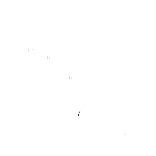 C[C@@H](CC(=O)N1CCC(N2Cc3ccccc3NC2=O)CC1)Cc1ccc(C(C)(C)C)cc1